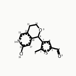 Cc1sc(C=O)cc1C1OCCc2cnc(Cl)cc21